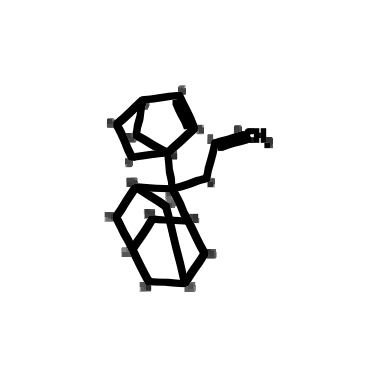 C=CCC1(C23C=CC(CC2)C3)C2CC3CC(C2)CC1C3